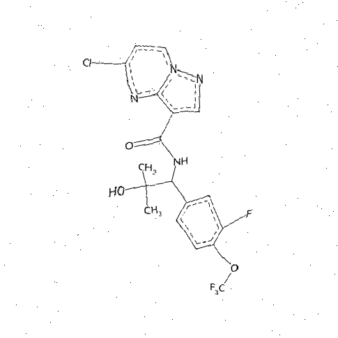 CC(C)(O)C(NC(=O)c1cnn2ccc(Cl)nc12)c1ccc(OC(F)(F)F)c(F)c1